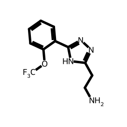 NCCc1nnc(-c2ccccc2OC(F)(F)F)[nH]1